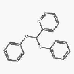 c1ccc(OC(Oc2ccccc2)c2ccccn2)cc1